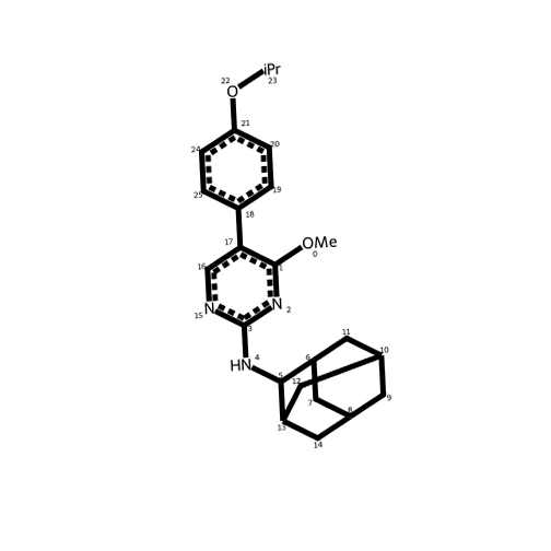 COc1nc(NC2C3CC4CC(C3)CC2C4)ncc1-c1ccc(OC(C)C)cc1